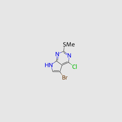 CSc1nc(Cl)c2c(Br)c[nH]c2n1